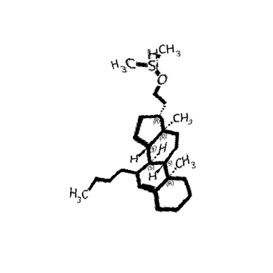 CCCCC1C=C2CCCC[C@]2(C)[C@H]2CC[C@]3(C)[C@@H](CCO[SiH](C)C)CC[C@H]3[C@H]12